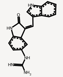 N=C(N)Nc1ccc2c(c1)C(=Cc1c[nH]c3ccccc13)C(=O)N2